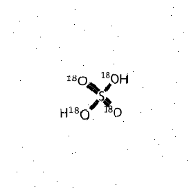 [18O]=S(=[18O])([18OH])[18OH]